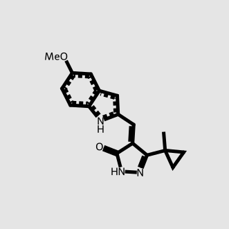 COc1ccc2[nH]c(C=C3C(=O)NN=C3C3(C)CC3)cc2c1